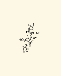 CC(=O)OC1c2cc(F)c(F)cc2C(=O)N1CCC(C(=O)O)C1(CC(C)C)CCN(CCc2ccccc2)C1=O